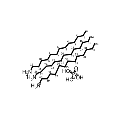 CCCCCCCCCCCCCN.CCCCCCCCCCCCCN.CCCCCCCCCCCCCN.O=P(O)(O)O